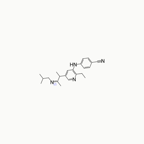 CCc1ncc(C(C)/C(C)=N\CC(C)C)cc1Nc1ccc(C#N)cc1